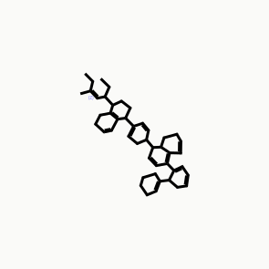 CC/C(C)=C\C(CC)C1CCC(C2=CCC(C3C=CC(C4=CC=CCC4C4=CCCCC4)=C4C=CCCC43)C=C2)C2=C1CCC=C2